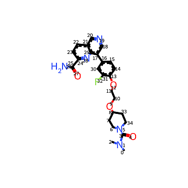 CN(C)C(=O)N1CCC(OCCOc2ccc(-c3cncc4ccc(C(N)=O)nc34)cc2F)CC1